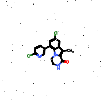 Cc1c2n(c3c(-c4ccc(Cl)nc4)cc(Cl)cc13)CCNC2=O